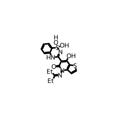 CCC(CC)=Nn1c(=O)c(C2=NS(O)(O)c3ccccc3N2)c(O)c2sccc21